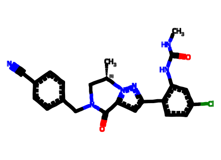 CNC(=O)Nc1cc(Cl)ccc1-c1cc2n(n1)[C@@H](C)CN(Cc1ccc(C#N)cc1)C2=O